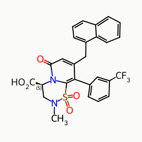 CN1C[C@@H](C(=O)O)n2c(c(-c3cccc(C(F)(F)F)c3)c(Cc3cccc4ccccc34)cc2=O)S1(=O)=O